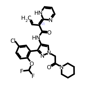 C=C/C(C(=O)Nc1cn(CC(=O)N2CCCCC2)nc1-c1cc(Cl)ccc1OC(F)F)=C1/N=CC=CN1